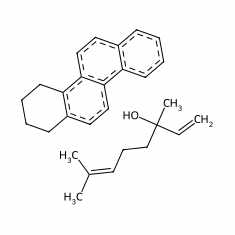 C=CC(C)(O)CCC=C(C)C.c1ccc2c(c1)ccc1c3c(ccc12)CCCC3